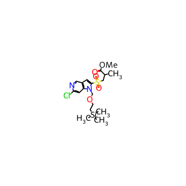 COC(=O)C(C)CS(=O)(=O)c1cc2cnc(Cl)cc2n1COCC[Si](C)(C)C